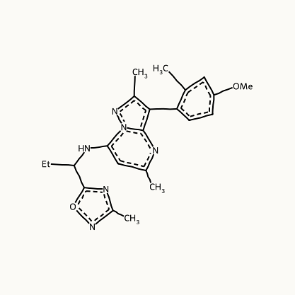 CCC(Nc1cc(C)nc2c(-c3ccc(OC)cc3C)c(C)nn12)c1nc(C)no1